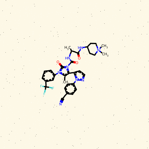 Cc1c(-c2ccnn2-c2ccc(C#N)cc2)n(C(=O)NC(C)C(=O)NC2CC[N+](C)(C)CC2)c(=O)n1-c1cccc(C(F)(F)F)c1